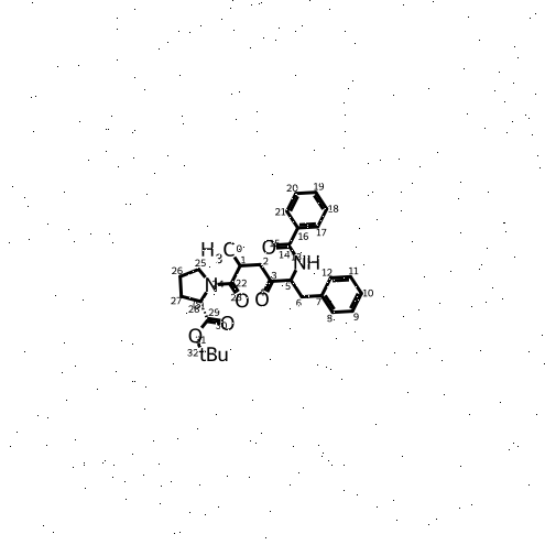 CC(CC(=O)C(Cc1ccccc1)NC(=O)c1ccccc1)C(=O)N1CCC[C@H]1C(=O)OC(C)(C)C